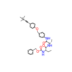 CCC(NC(=O)OCc1ccccc1)C(=O)N[C@@H](CC)C(=O)Nc1ccc(COc2ccc(C#C[Si](C)(C)C)cc2)cc1